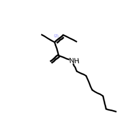 C=C(NCCCCCC)/C(C)=C\C